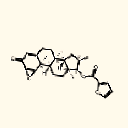 C[C@@H]1C[C@H]2[C@@H]3CCC4=CC(=O)C5=C(O5)[C@]4(C)[C@H]3CC[C@]2(C)[C@@H]1OC(=O)c1ccco1